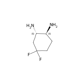 N[C@H]1CCC(F)(F)C[C@@H]1N